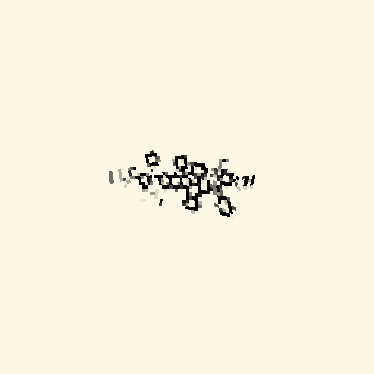 Cc1cc(C)cc(N(c2ccccc2)c2ccc3cc4c(cc3c2)C(c2ccccc2)(c2ccccc2)c2c-4c3ccccc3c3cc(N(c4ccccc4)c4cc(C)cc(C)c4)ccc23)c1